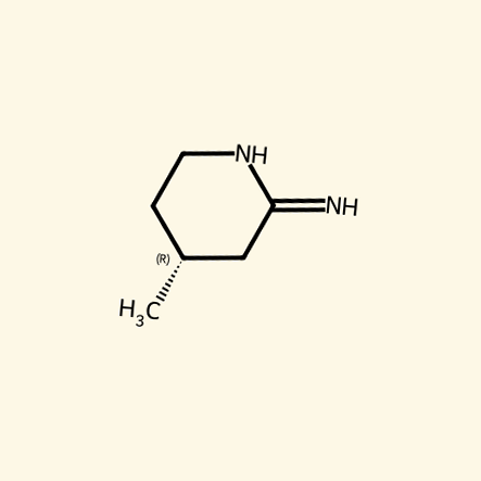 C[C@@H]1CCNC(=N)C1